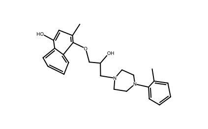 Cc1ccccc1N1CCN(CC(O)COc2c(C)cc(O)c3ccccc23)CC1